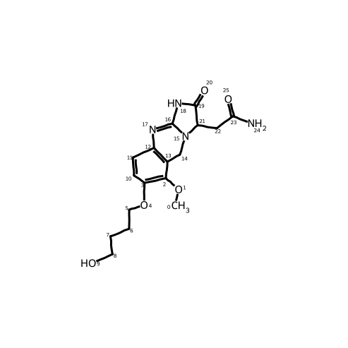 COc1c(OCCCCO)ccc2c1CN1C(=N2)NC(=O)C1CC(N)=O